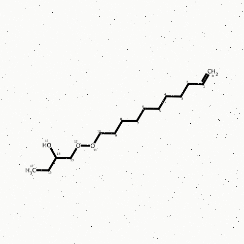 C=CCCCCCCCCCOOCC(O)CC